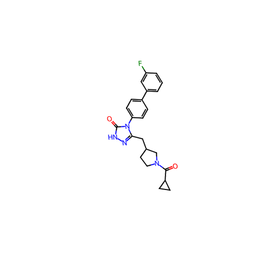 O=C(C1CC1)N1CCC(Cc2n[nH]c(=O)n2-c2ccc(-c3cccc(F)c3)cc2)C1